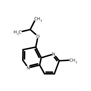 Cc1ccc2nccc(OC(C)C)c2n1